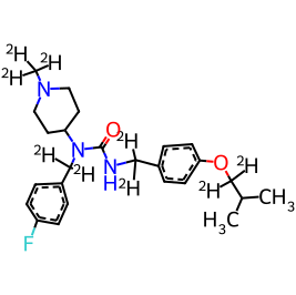 [2H]C([2H])(NC(=O)N(C1CCN(C([2H])([2H])[2H])CC1)C([2H])([2H])c1ccc(F)cc1)c1ccc(OC([2H])([2H])C(C)C)cc1